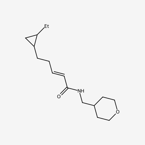 CCC1CC1CC/C=C/C(=O)NCC1CCOCC1